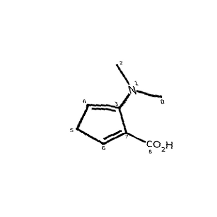 CN(C)C1=CCC=C1C(=O)O